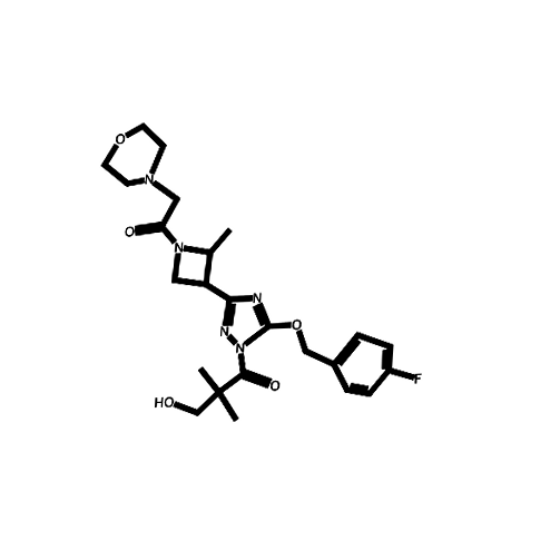 CC1C(c2nc(OCc3ccc(F)cc3)n(C(=O)C(C)(C)CO)n2)CN1C(=O)CN1CCOCC1